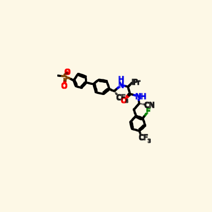 CC(C)C(N[C@@H](c1ccc(-c2ccc(S(C)(=O)=O)cc2)cc1)C(F)(F)F)C(=O)N[C@H](C#N)Cc1ccc(C(F)(F)F)cc1F